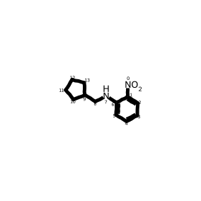 O=[N+]([O-])c1ccccc1NCC1CCCC1